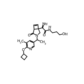 Cc1cc(C(C)N2CC3(C(=N)C(=O)NCCCO)C=CC3C2=O)cnc1OC1CCC1